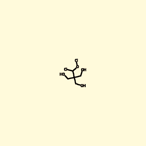 OCC(CO)(CO)C(Cl)OCl